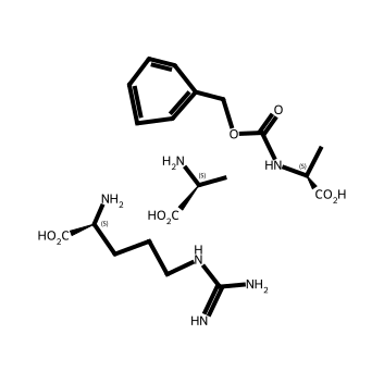 C[C@H](N)C(=O)O.C[C@H](NC(=O)OCc1ccccc1)C(=O)O.N=C(N)NCCC[C@H](N)C(=O)O